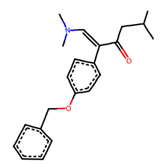 CC(C)CC(=O)/C(=C/N(C)C)c1ccc(OCc2ccccc2)cc1